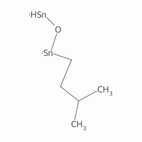 CC(C)C[CH2][Sn][O][SnH]